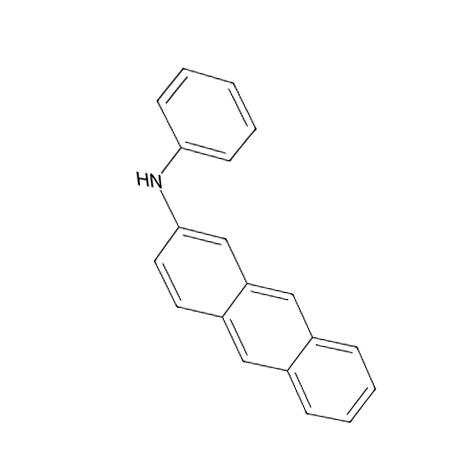 c1ccc(Nc2ccc3cc4ccccc4cc3c2)cc1